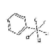 ClS(Cl)(Cl)(Cl)(Cl)c1cc[c]cc1